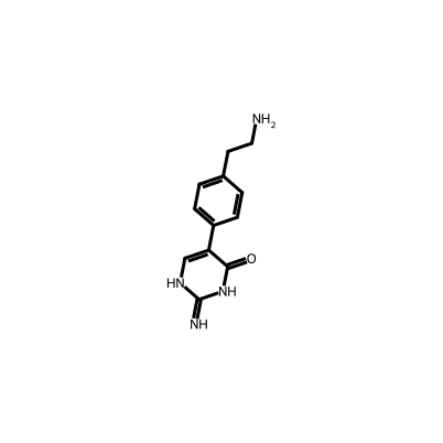 N=c1[nH]cc(-c2ccc(CCN)cc2)c(=O)[nH]1